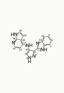 c1ccc2[nH]c(-c3n[nH]cc3Nc3ccnc4[nH]ccc34)nc2c1